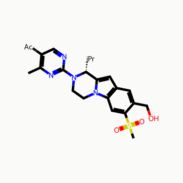 CC(=O)c1cnc(N2CCn3c(cc4cc(CO)c(S(C)(=O)=O)cc43)[C@H]2C(C)C)nc1C